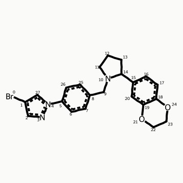 Brc1cnn(-c2ccc(CN3CCCC3c3ccc4c(c3)OCCO4)cc2)c1